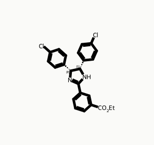 CCOC(=O)c1cccc(C2=N[C@H](c3ccc(Cl)cc3)[C@H](c3ccc(Cl)cc3)N2)c1